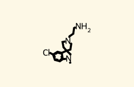 CN1CC2(CCN(CCCN)CC2)c2cc(Cl)ccc21